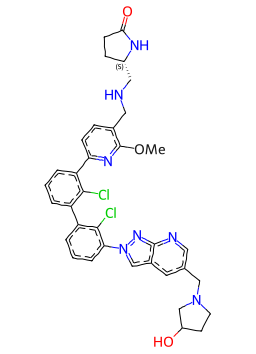 COc1nc(-c2cccc(-c3cccc(-n4cc5cc(CN6CCC(O)C6)cnc5n4)c3Cl)c2Cl)ccc1CNC[C@@H]1CCC(=O)N1